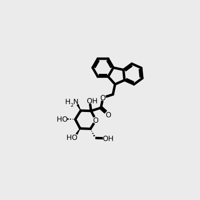 N[C@@H]1[C@@H](O)[C@H](O)[C@@H](CO)OC1(O)C(=O)OCC1c2ccccc2-c2ccccc21